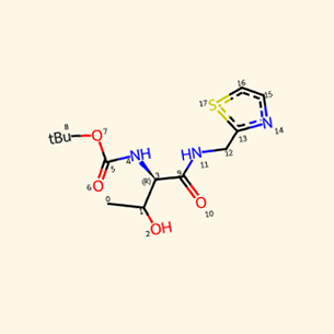 CC(O)[C@@H](NC(=O)OC(C)(C)C)C(=O)NCc1nccs1